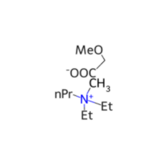 CCC[N+](C)(CC)CC.COCC(=O)[O-]